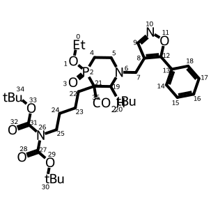 CCOP1(=O)CCN(Cc2cnoc2-c2ccccc2)C(C(C)(C)C)C1(CCCCN(C(=O)OC(C)(C)C)C(=O)OC(C)(C)C)C(=O)O